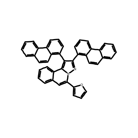 c1coc(-c2cc3ccccc3c3c(-c4cccc5c4ccc4ccccc45)c(-c4cccc5c4ccc4ccccc45)nn23)c1